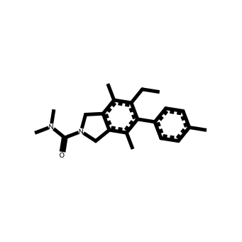 CCc1c(C)c2c(c(C)c1-c1ccc(C)cc1)CN(C(=O)N(C)C)C2